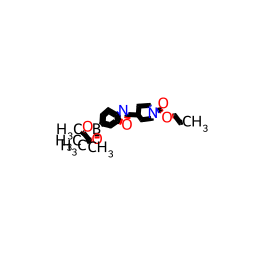 CCCOC(=O)N1CCC(c2nc3ccc(B4OC(C)(C)C(C)(C)O4)cc3o2)CC1